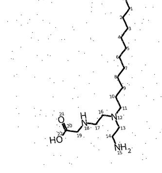 CCCCCCCCCCCCN(CCN)CCNCC(=O)O